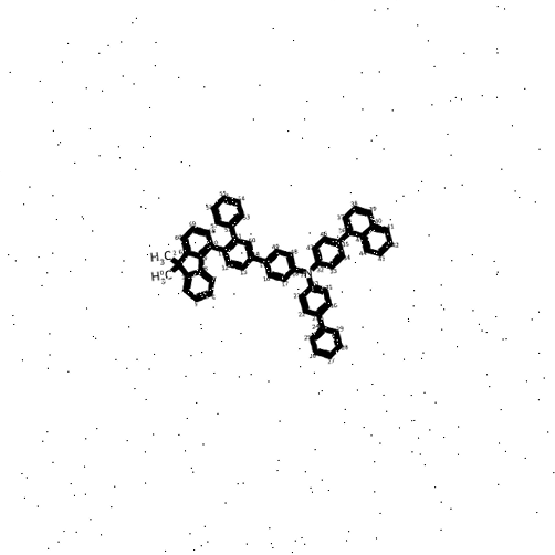 CC1(C)c2ccccc2-c2c(-c3ccc(-c4ccc(N(c5ccc(-c6ccccc6)cc5)c5ccc(-c6cccc7ccccc67)cc5)cc4)cc3-c3ccccc3)cccc21